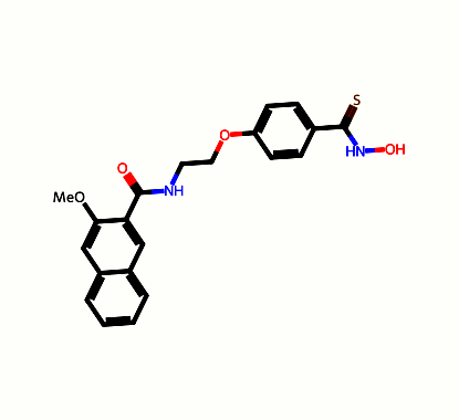 COc1cc2ccccc2cc1C(=O)NCCOc1ccc(C(=S)NO)cc1